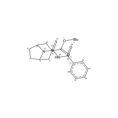 CC(C)(C)OC(=O)N1CC2CCC(C1)N2C(=S)NC(=O)c1ccccc1